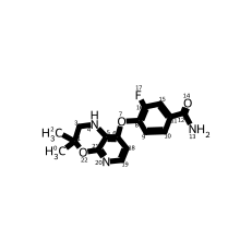 CC1(C)CNc2c(Oc3ccc(C(N)=O)cc3F)ccnc2O1